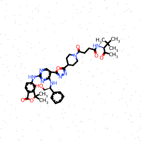 CC(=O)[C@@H](NC(=O)CCC(=O)N1CCC(c2nnc(-c3cnc(Nc4ccc5c(c4)C(C)(C)OC5=O)nc3N[C@H](CO)c3ccccc3)o2)CC1)C(C)(C)C